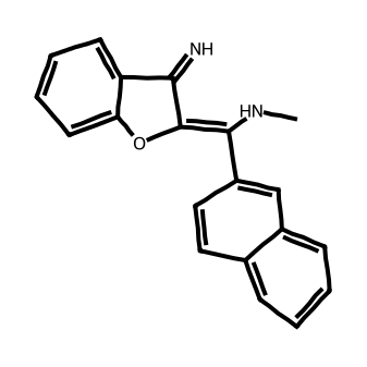 CN/C(=C1/Oc2ccccc2C1=N)c1ccc2ccccc2c1